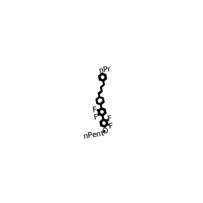 CCCCCOc1ccc(-c2ccc(C3=CCC(/C=C/CCc4ccc(CCC)cc4)CC3)c(F)c2F)c(F)c1F